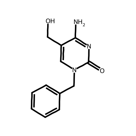 Nc1nc(=O)n(Cc2ccccc2)cc1CO